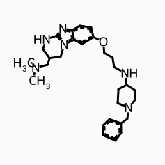 CN(C)CC1CNc2nc3ccc(OCCCNC4CCN(Cc5ccccc5)CC4)cc3n2C1